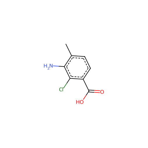 Cc1ccc(C(=O)O)c(Cl)c1N